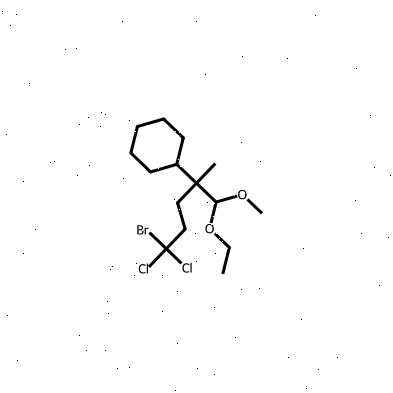 CCOC(OC)C(C)(CCC(Cl)(Cl)Br)C1CCCCC1